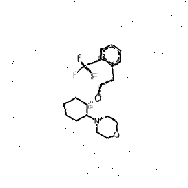 FC(F)(F)c1ccccc1CCO[C@H]1CCCCC1N1CCOCC1